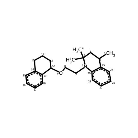 CC1CC(C)(C)N(CCOC2CCCc3ccccc32)c2ccccc21